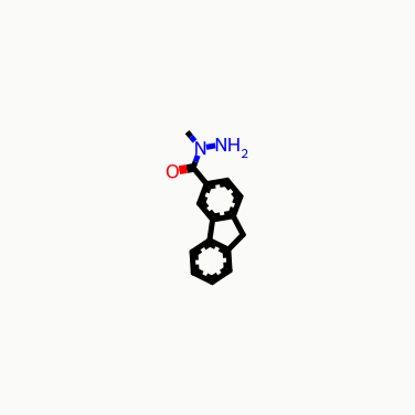 CN(N)C(=O)c1ccc2c(c1)-c1ccccc1C2